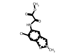 COC(=O)C(=O)Nc1cc2cn(C)nc2cc1Cl